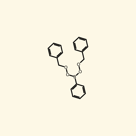 c1ccc(COOB(OOCc2ccccc2)c2ccccc2)cc1